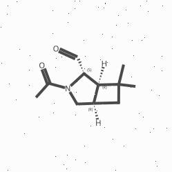 CC(=O)N1C[C@@H]2CC(C)(C)[C@@H]2[C@H]1C=O